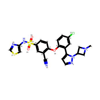 CN1CC(n2nccc2-c2cc(Cl)ccc2Oc2ccc(S(=O)(=O)Nc3cscn3)cc2C#N)C1